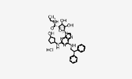 CCNC(=O)[C@H]1O[C@H](n2cnc3c(NCC(c4ccccc4)c4ccccc4)nc(NC4CCC(O)C4)nc32)[C@H](O)[C@@H]1O.Cl